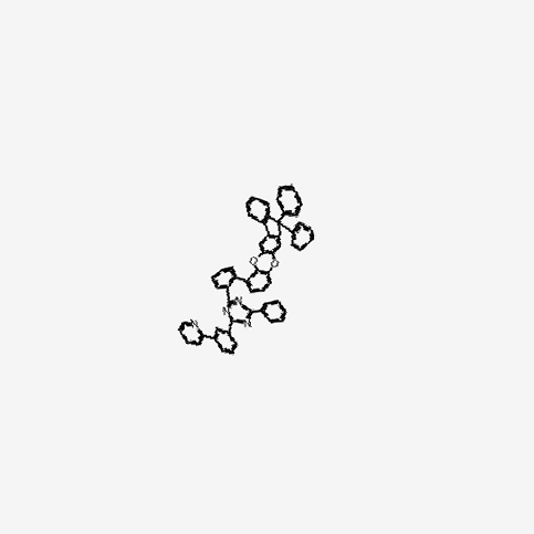 c1ccc(-c2nc(-c3cccc(-c4ccccn4)c3)nc(-c3ccccc3-c3cccc4c3Oc3cc5c(cc3O4)C(c3ccccc3)(c3ccccc3)c3ccccc3-5)n2)cc1